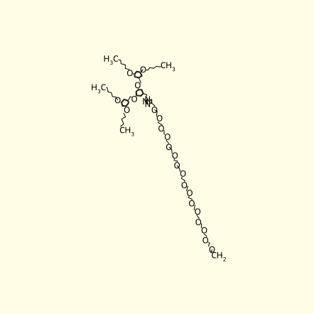 [CH2]COCCOCCOCCOCCOCCOCCOCCOCCOCCOCCOCCOCCOCCOCCOCCOCc1cn(Cc2cc(OCc3cc(OCCCCCC)cc(OCCCCCC)c3)cc(OCc3cc(OCCCCCC)cc(OCCCCCC)c3)c2)nn1